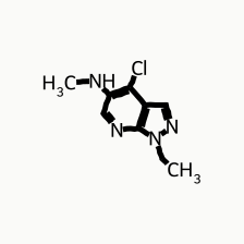 CCn1ncc2c(Cl)c(NC)cnc21